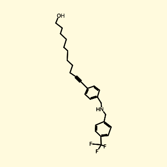 OCCCCCCCCCC#Cc1ccc(CNCc2ccc(C(F)(F)F)cc2)cc1